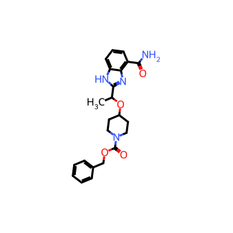 CC(OC1CCN(C(=O)OCc2ccccc2)CC1)c1nc2c(C(N)=O)cccc2[nH]1